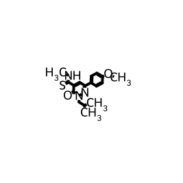 CNC(=S)c1cc(-c2ccc(OC)cc2)nn(CC(C)C)c1=O